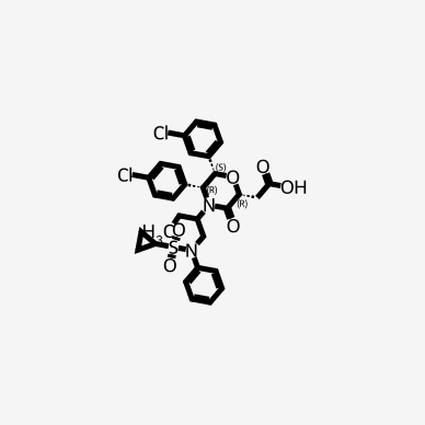 CCC(CN(c1ccccc1)S(=O)(=O)C1CC1)N1C(=O)[C@@H](CC(=O)O)O[C@@H](c2cccc(Cl)c2)[C@H]1c1ccc(Cl)cc1